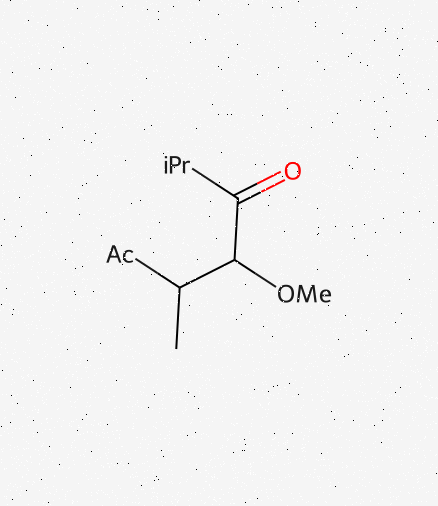 COC(C(=O)C(C)C)C(C)C(C)=O